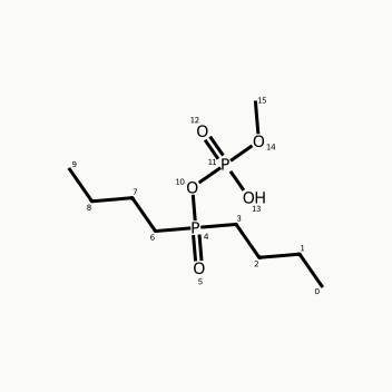 CCCCP(=O)(CCCC)OP(=O)(O)OC